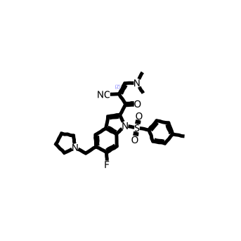 Cc1ccc(S(=O)(=O)n2c(C(=O)/C(C#N)=C\N(C)C)cc3cc(CN4CCCC4)c(F)cc32)cc1